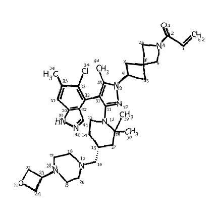 C=CC(=O)N1CC2(CC(n3nc(N4CC[C@@H](CN5CCN(C6COC6)CC5)CC4(C)C)c(-c4c(Cl)c(C)cc5[nH]ncc45)c3C)C2)C1